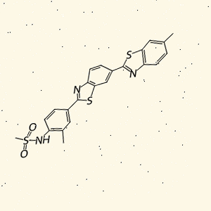 Cc1ccc2nc(-c3ccc4nc(-c5ccc(NS(C)(=O)=O)c(C)c5)sc4c3)sc2c1